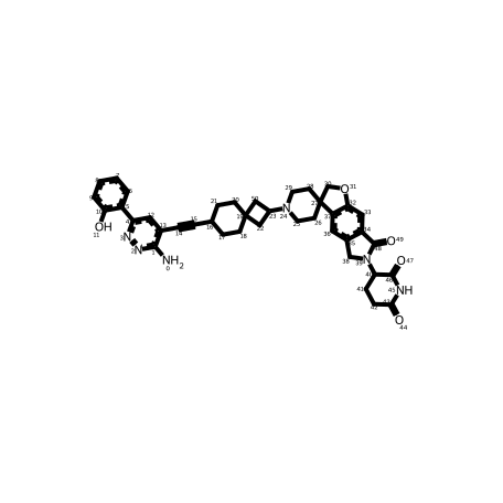 Nc1nnc(-c2ccccc2O)cc1C#CC1CCC2(CC1)CC(N1CCC3(CC1)COc1cc4c(cc13)CN(C1CCC(=O)NC1=O)C4=O)C2